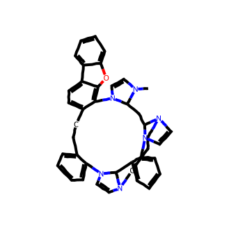 CN1C=CN2c3c(ccc4c3oc3ccccc34)CCc3ccccc3N3C=CN4CCCN5C=CN(c6ccccc6C43)C5CC12